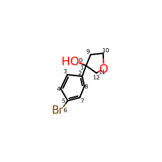 OC1(c2ccc(Br)cc2)CCOC1